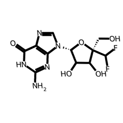 Nc1nc2c(ncn2[C@@H]2O[C@@](CO)(C(F)F)C(O)C2O)c(=O)[nH]1